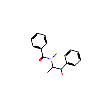 CC(C(O)c1ccccc1)N(C)C(=O)c1ccccc1